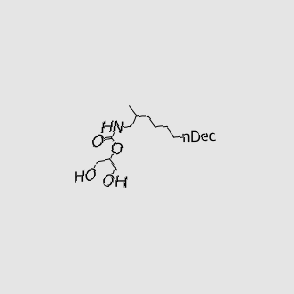 CCCCCCCCCCCCCCC(C)CNC(=O)OC(CO)CO